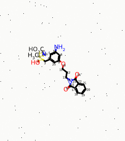 C[SH](O)(Cc1cc(N)cc(OCCCN2C(=O)c3ccccc3C2=O)c1)=NC(=O)O